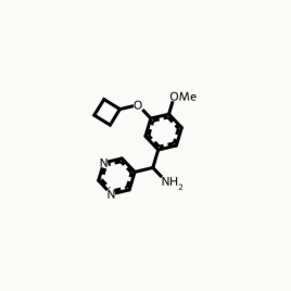 COc1ccc(C(N)c2cncnc2)cc1OC1CCC1